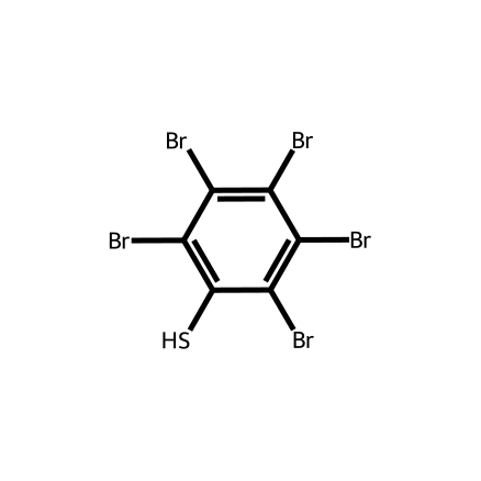 Sc1c(Br)c(Br)c(Br)c(Br)c1Br